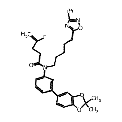 C=C(F)CCC(=O)N(CCCCCc1nc(C(C)C)no1)c1cccc(-c2ccc3c(c2)OC(C)(C)O3)c1